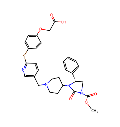 COC(=O)N1C[C@@H](c2ccccc2)N(C2CCN(Cc3ccc(Sc4ccc(OCC(=O)O)cc4)nc3)CC2)C1=O